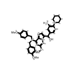 CCCCOc1nc(N(Cc2ccc(OC)cc2)Cc2ccc(OC)cc2)c2ncc(C(O)c3cnc(N4CC[CH]CC4)c(C)c3)n2n1